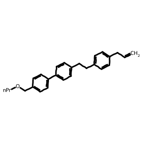 C=CCc1ccc(CCc2ccc(-c3ccc(COCCC)cc3)cc2)cc1